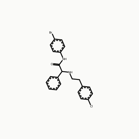 O=C(Nc1ccc(Br)cc1)C(NCCc1ccc(Cl)cc1)c1ccccc1